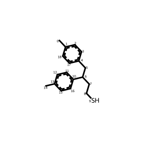 Cc1ccc(CC(CCS)c2ccc(C)cc2)cc1